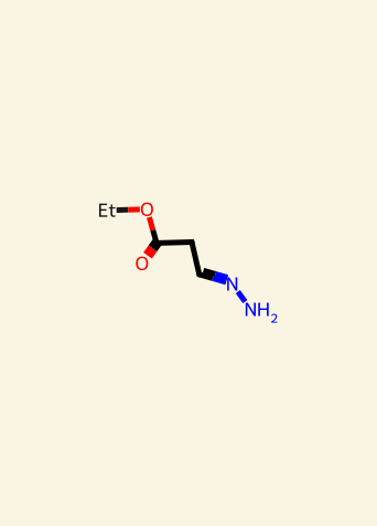 CCOC(=O)CC=NN